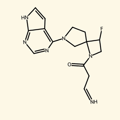 N=CCC(=O)N1CC(F)C12CCN(c1ncnc3[nH]ccc13)C2